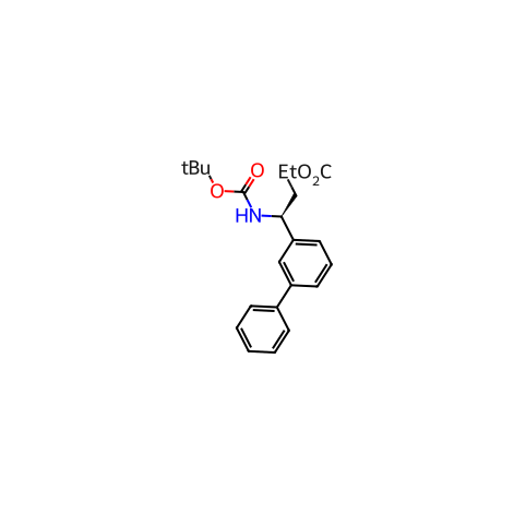 CCOC(=O)C[C@H](NC(=O)OC(C)(C)C)c1cccc(-c2ccccc2)c1